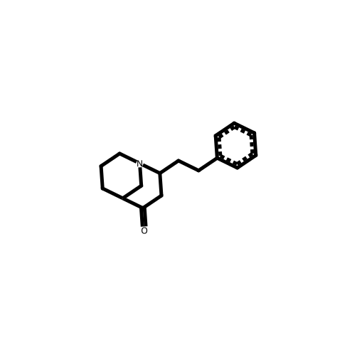 O=C1CC(CCc2ccccc2)N2CCCC1C2